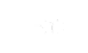 CCCCCCCN1CC2CCCCN2C1